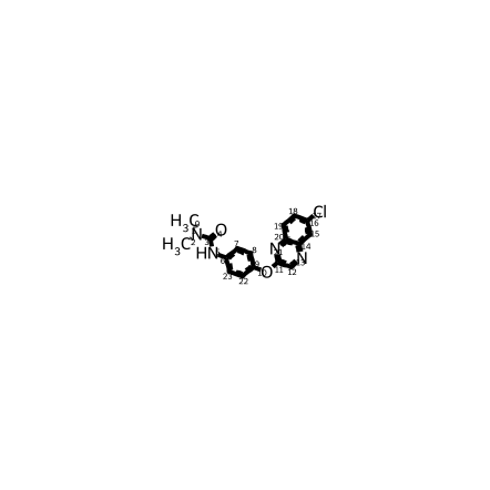 CN(C)C(=O)Nc1ccc(Oc2cnc3cc(Cl)ccc3n2)cc1